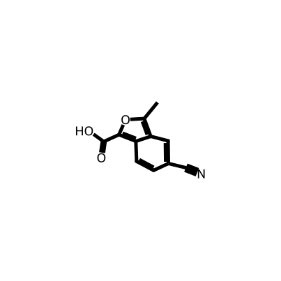 Cc1oc(C(=O)O)c2ccc(C#N)cc12